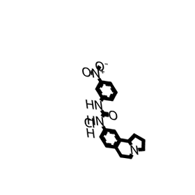 Cl.O=C(Nc1cccc([N+](=O)[O-])c1)Nc1ccc2c(c1)C1CCCN1CC2